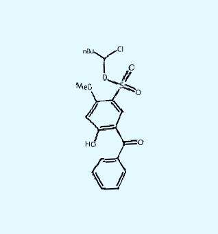 CCCCC(Cl)OS(=O)(=O)c1cc(C(=O)c2ccccc2)c(O)cc1OC